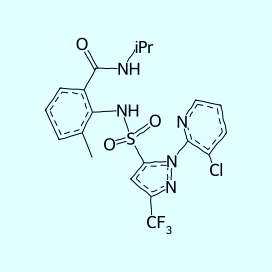 Cc1cccc(C(=O)NC(C)C)c1NS(=O)(=O)c1cc(C(F)(F)F)nn1-c1ncccc1Cl